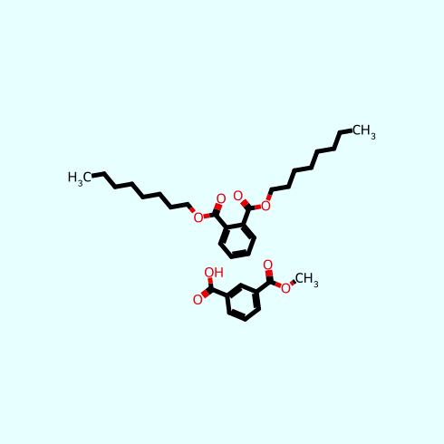 CCCCCCCCOC(=O)c1ccccc1C(=O)OCCCCCCCC.COC(=O)c1cccc(C(=O)O)c1